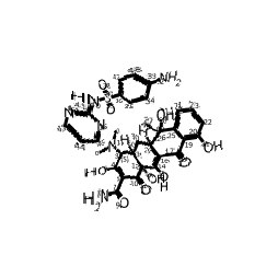 CN(C)[C@@H]1C(O)=C(C(N)=O)C(=O)[C@@]2(O)C(O)=C3C(=O)c4c(O)cccc4[C@@](C)(O)[C@H]3C[C@@H]12.Nc1ccc(S(=O)(=O)Nc2ncccn2)cc1